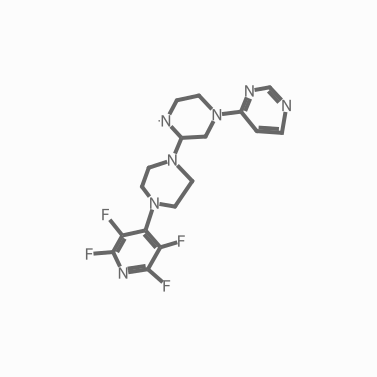 Fc1nc(F)c(F)c(N2CCN(C3CN(c4ccncn4)CC[N]3)CC2)c1F